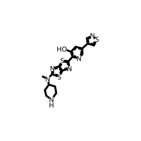 CN(c1nc2sc(-c3ncc(-c4cnsc4)cc3O)nc2s1)C1CCNCC1